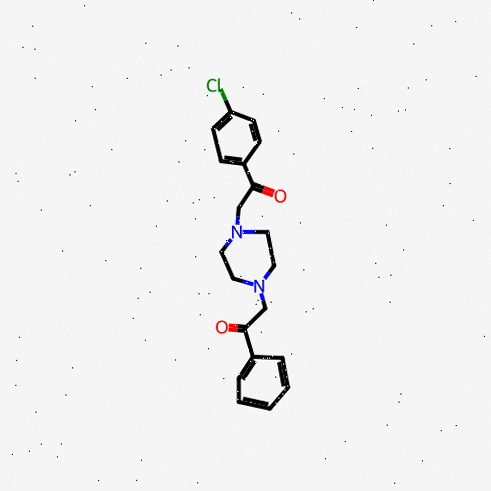 O=C(CN1CCN(CC(=O)c2ccc(Cl)cc2)CC1)c1ccccc1